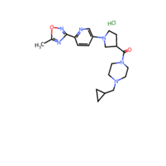 Cc1nc(-c2ccc(N3CCC(C(=O)N4CCN(CC5CC5)CC4)C3)cn2)no1.Cl